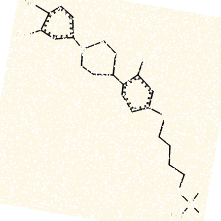 Cc1cc(OCCCCO[Si](C)(C)C(C)(C)C)ccc1C1CCN(c2ccc(C#N)c(C(F)(F)F)c2)CC1